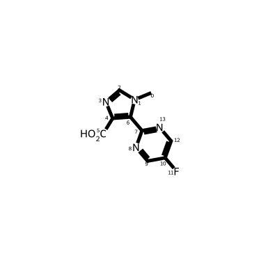 Cn1cnc(C(=O)O)c1-c1ncc(F)cn1